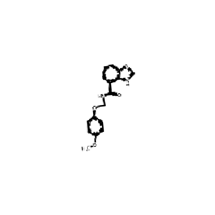 COc1ccc(OCNC(=O)c2cccc3nc[nH]c23)cc1